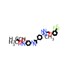 Cn1c(COc2cccc(C(F)(F)F)c2)nnc1[C@H]1CC[C@H](c2cnn([C@H]3CC[C@H](NC(=O)OC(C)(C)C)CC3)c2)CC1